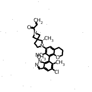 C=CC(=O)N1CC2(CCN(c3cc4c(c(-c5c(C)c(Cl)cc6cnn(C)c56)c3C#N)OCCC4)[C@H]2C)C1